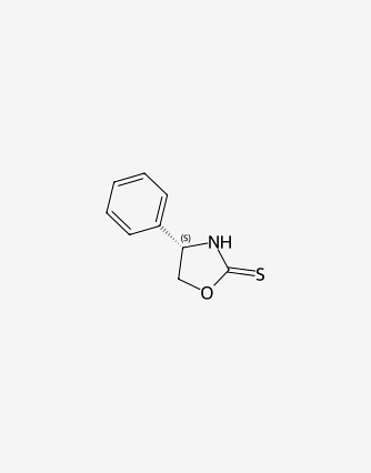 S=C1N[C@@H](c2ccccc2)CO1